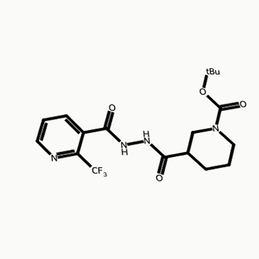 CC(C)(C)OC(=O)N1CCCC(C(=O)NNC(=O)c2cccnc2C(F)(F)F)C1